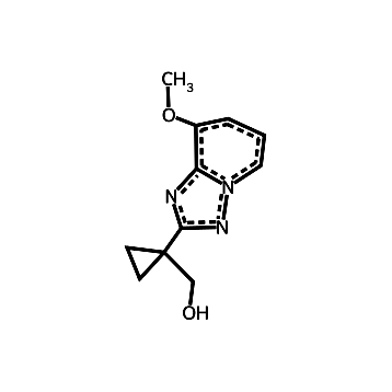 COc1cccn2nc(C3(CO)CC3)nc12